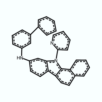 c1ccc(-c2cccc(Nc3ccc4c5ccc6ccccc6c5n(-c5ccccn5)c4c3)c2)cc1